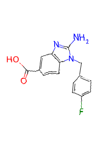 Nc1nc2cc(C(=O)O)ccc2n1Cc1ccc(F)cc1